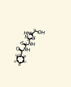 O=C(NC(=S)Nc1n[nH]c(CO)n1)c1ccccc1